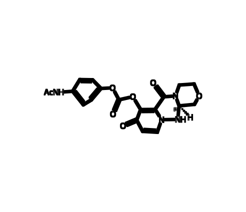 CC(=O)Nc1ccc(OC(=O)Oc2c3n(ccc2=O)N[C@@H]2COCCN2C3=O)cc1